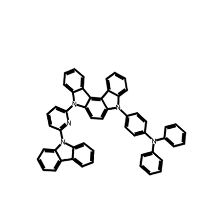 c1ccc(N(c2ccccc2)c2ccc(-n3c4ccccc4c4c5c6ccccc6n(-c6cccc(-n7c8ccccc8c8ccccc87)n6)c5ccc43)cc2)cc1